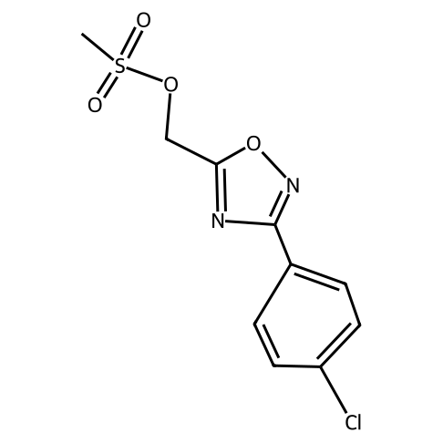 CS(=O)(=O)OCc1nc(-c2ccc(Cl)cc2)no1